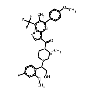 COc1ccc(-c2nc3c(C(=O)N4CCN(C(CO)c5ccc(F)cc5OC)C[C@H]4C)cnn3c(C(F)(F)F)c2C)cc1